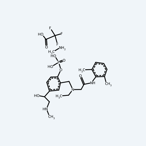 CCN(CC(=O)Nc1c(C)cccc1C)Cc1cc(C(O)CNC)ccc1OP(=O)(O)O.CN.O=C(O)C(F)(F)F